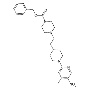 Cc1cc(N2CCC(CCN3CCN(C(=O)OCc4ccccc4)CC3)CC2)ncc1[N+](=O)[O-]